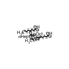 CC(O)C(=O)O.CCCCCCCC(=O)O.CCCCCCCC(=O)O.CCCCCCCCOC(=O)CCCCCCC